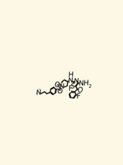 CN(C)CCCc1ccc(S(=O)(=O)N2CCC(Nc3nc(N)c(C(=O)c4c(F)cccc4F)s3)CC2)cc1